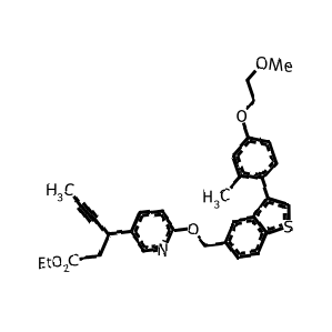 CC#CC(CC(=O)OCC)c1ccc(OCc2ccc3scc(-c4ccc(OCCOC)cc4C)c3c2)nc1